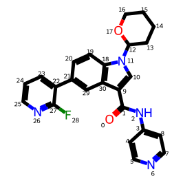 O=C(Nc1ccncc1)c1cn(C2CCCCO2)c2ccc(-c3cccnc3F)cc12